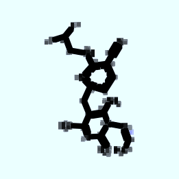 C=C1N=C(C)C(Cc2ccc(C#N)c(NCC(F)F)n2)=C(N)N1/N=C\C